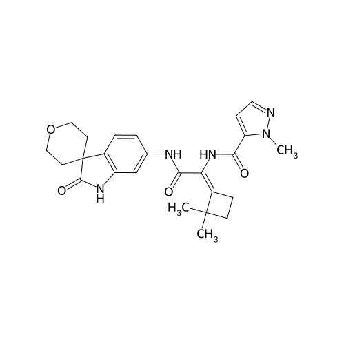 Cn1nccc1C(=O)NC(C(=O)Nc1ccc2c(c1)NC(=O)C21CCOCC1)=C1CCC1(C)C